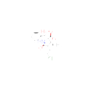 C[C@@]12OC(=O)[C@]1(C(O)C1C=CCCC1)NC(=O)[C@@H]2CCCl